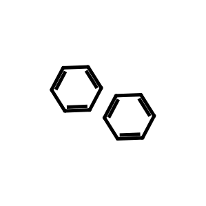 c1ccccc1.c1ccccc1